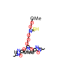 C/C=C1\CC2C=Nc3cc(OCc4cc(OCCOCCOCCN(CCOCCOCCOC)CC(C)(C)S)cc(COc5cc6c(cc5OC)C(=O)N5C/C(=C/C)C[C@H]5C=N6)n4)c(OC)cc3C(=O)N2C1